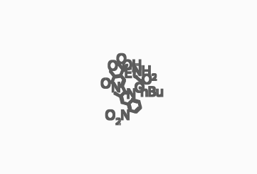 CCC1(O)C(=O)OCc2c1cc1n(c2=O)Cc2cc3c([N+](=O)[O-])cccc3nc2-1.CCCCOC(=O)CN